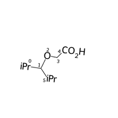 CC(C)C(OCC(=O)O)C(C)C